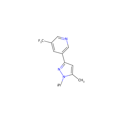 Cc1cc(-c2cncc(C(F)(F)F)c2)nn1C(C)C